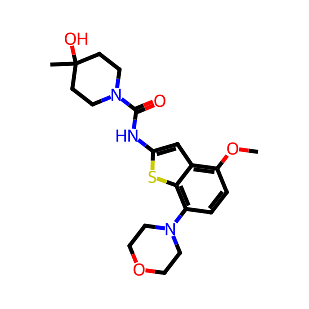 COc1ccc(N2CCOCC2)c2sc(NC(=O)N3CCC(C)(O)CC3)cc12